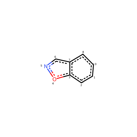 [c]1c[c]c2oncc2c1